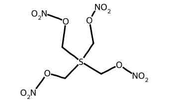 O=[N+]([O-])OCS(CO[N+](=O)[O-])(CO[N+](=O)[O-])CO[N+](=O)[O-]